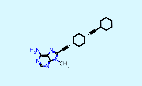 Cn1c(C#C[C@H]2CC[C@@H](C#CC3CCCCC3)CC2)nc2c(N)ncnc21